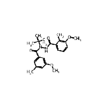 COc1cc(C)cc(C(=O)N(NC(=O)c2cccc(OC)c2C)C(C)(C)C)c1